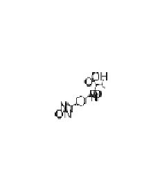 COc1ncc(C2CCC(c3cc(C(C(=O)O)C(C)C)on3)CC2)cn1